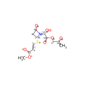 COC(=O)/C=C/S[C@@H]1CC(=O)N1C(O)C(=O)OCC(C)=O